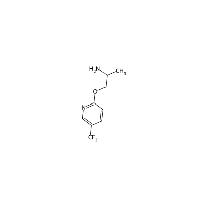 CC(N)COc1ccc(C(F)(F)F)cn1